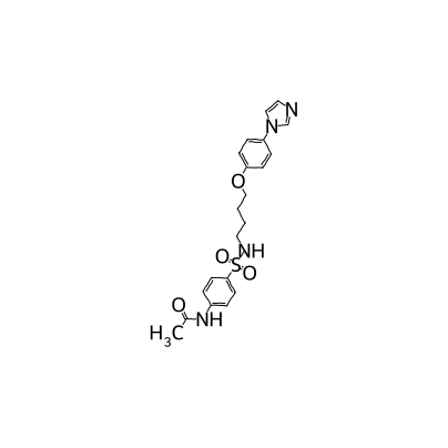 CC(=O)Nc1ccc(S(=O)(=O)NCCCCOc2ccc(-n3ccnc3)cc2)cc1